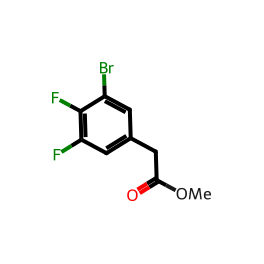 COC(=O)Cc1cc(F)c(F)c(Br)c1